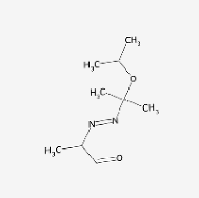 CC(C=O)N=NC(C)(C)OC(C)C